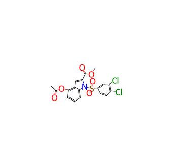 COC(=O)c1cc2c(OC(C)=O)cccc2n1S(=O)(=O)c1ccc(Cl)c(Cl)c1